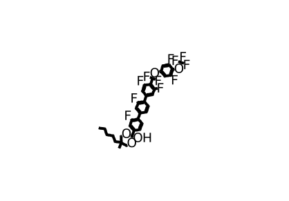 CCCCCC1(C)COC(O)(c2ccc(-c3ccc(-c4cc(F)c(C(F)(F)Oc5cc(F)c(OC(F)(F)F)c(F)c5)c(F)c4)c(F)c3)c(F)c2)OC1